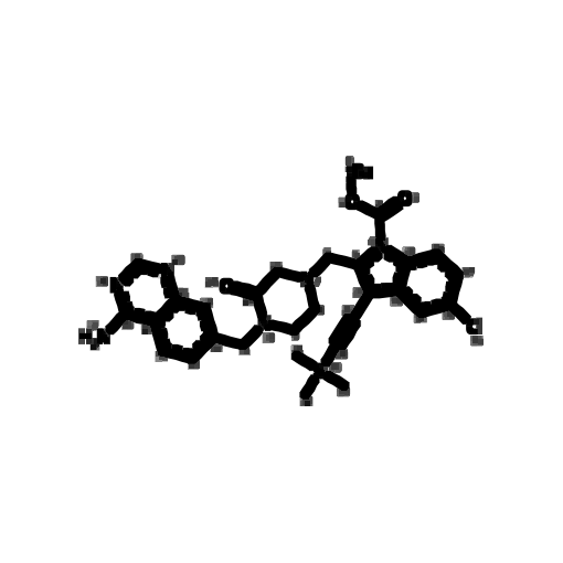 CC(C)(C)OC(=O)n1c(CN2CCN(Cc3ccc4c(N)ncnc4c3)C(=O)C2)c(C#C[Si](C)(C)C)c2cc(Cl)ccc21